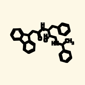 C[C@H](NC[C@H](O)[C@H](Cc1ccccc1)NC(=O)CC1c2ccccc2-c2ccccc21)c1ccccc1